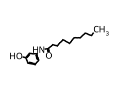 CCCCCCCCCC(=O)Nc1cccc(O)c1